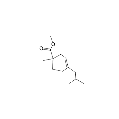 COC(=O)C1(C)CC=C(CC(C)C)CC1